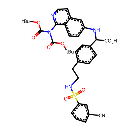 CC(C)(C)OC(=O)N(C(=O)OC(C)(C)C)c1nccc2cc(NC(C(=O)O)c3ccc(CCNS(=O)(=O)c4cccc(C#N)c4)cc3)ccc12